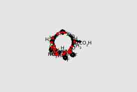 COc1ccc(C[C@@H]2NC(=O)[C@H](Cc3cnc[nH]3)NC(=O)[C@H](CC(=O)O)NC(=O)[C@H](Cc3c[nH]c4ccc(F)cc34)NC(=O)[C@H](Cc3c[nH]c4ccc(F)cc34)NC(=O)[C@@H](C)NC(=O)[C@H](CCCCCC(=O)O)NC(=O)CCSCc3cccc(c3)CSCCNC(=O)[C@]3(C)CCCN3C2=O)cc1